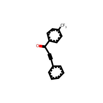 O=C(C#Cc1ccccc1)c1ccc(C(F)(F)F)cc1